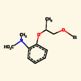 CCOCC(C)Oc1ccccc1N(C)C(=O)O